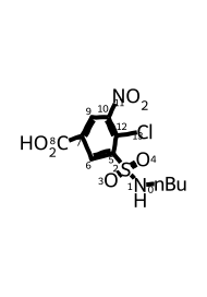 CCCCNS(=O)(=O)c1cc(C(=O)O)cc([N+](=O)[O-])c1Cl